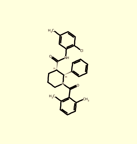 Cc1ccc(Cl)c(NC(=O)[C@H]2CCCN(C(=O)c3c(C)cccc3C)[C@H]2c2ccccc2)c1